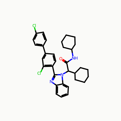 O=C(NC1CCCCC1)C(C1CCCCC1)n1c(-c2ccc(-c3ccc(Cl)cc3)cc2Cl)nc2ccccc21